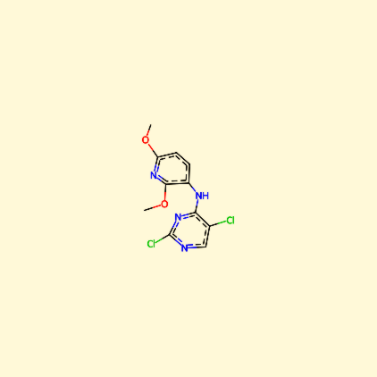 COc1ccc(Nc2nc(Cl)ncc2Cl)c(OC)n1